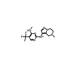 CNc1nc(Nc2cnn3c2CN(C)CC3)ncc1C(F)(F)F